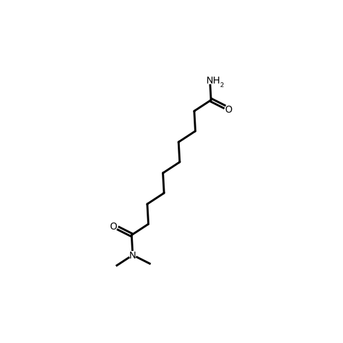 CN(C)C(=O)CCCCCCCCC(N)=O